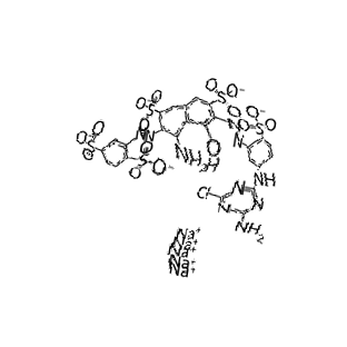 Nc1nc(Cl)nc(Nc2ccc(S(=O)(=O)[O-])c(N=Nc3c(S(=O)(=O)[O-])cc4cc(S(=O)(=O)[O-])c(N=Nc5cc(S(=O)(=O)[O-])ccc5S(=O)(=O)[O-])c(N)c4c3O)c2)n1.[Na+].[Na+].[Na+].[Na+].[Na+]